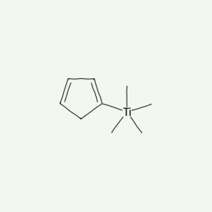 [CH3][Ti]([CH3])([CH3])([CH3])[C]1=CC=CC1